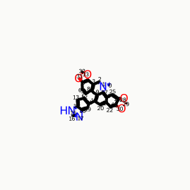 C[n+]1cc2c3c(ccc2c2c(-c4ccc5[nH]cnc5c4)cc4cc5c(cc4c21)OCO5)OCO3